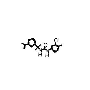 C=C(C)c1cccc(C(C)(C)NC(=O)Nc2ccc(C)c(Cl)c2)c1